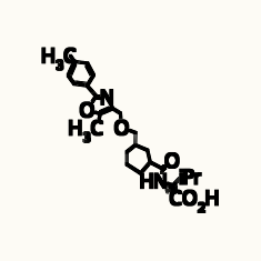 Cc1ccc(-c2nc(COCC3CCCC(C(=O)N[C@H](C(=O)O)C(C)C)C3)c(C)o2)cc1